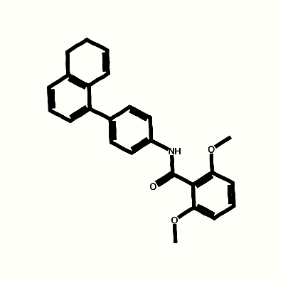 COc1cccc(OC)c1C(=O)Nc1ccc(-c2cccc3c2C=CCC3)cc1